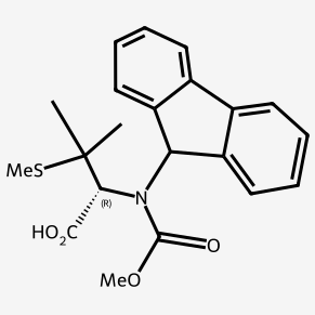 COC(=O)N(C1c2ccccc2-c2ccccc21)[C@H](C(=O)O)C(C)(C)SC